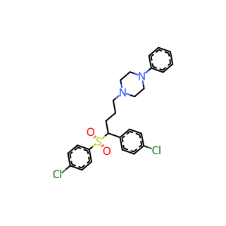 O=S(=O)(c1ccc(Cl)cc1)C(CCCN1CCN(c2ccccc2)CC1)c1ccc(Cl)cc1